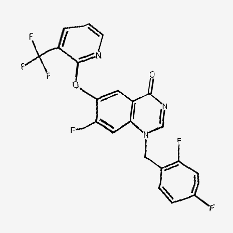 O=c1ncn(Cc2ccc(F)cc2F)c2cc(F)c(Oc3ncccc3C(F)(F)F)cc12